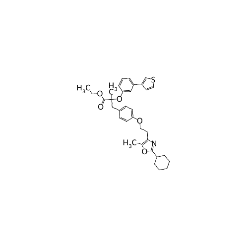 CCOC(=O)C(C)(Cc1ccc(OCCc2nc(C3CCCCC3)oc2C)cc1)Oc1cccc(-c2ccsc2)c1